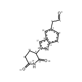 O=CCc1ccc2nn(C3CCC(=O)NC3=O)cc2c1